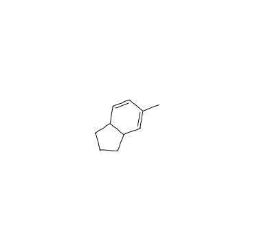 CC1=CC2CCCC2C=C1